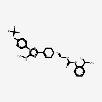 CNc1nc(C2=CC[C@@H](C=NNC(=S)Nc3ccccc3C(C)C)CC2)nn1-c1ccc(OC(F)(F)F)cc1